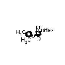 CCCCCCc1cc(=O)c(Oc2ccc(C)cc2C)cn1C